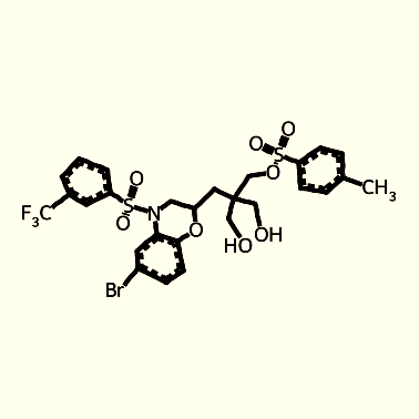 Cc1ccc(S(=O)(=O)OCC(CO)(CO)CC2CN(S(=O)(=O)c3cccc(C(F)(F)F)c3)c3cc(Br)ccc3O2)cc1